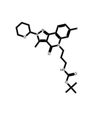 Cc1c2c(=O)n(CCCNC(=O)OC(C)(C)C)c3cc(I)ccc3c2nn1C1CCCCO1